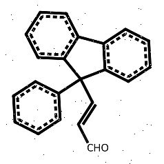 O=CC=CC1(c2ccccc2)c2ccccc2-c2ccccc21